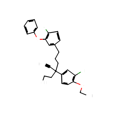 C#CC(CCC)(CCCc1ccc(F)c(Oc2ccccc2)c1)c1ccc(OCC)c(Cl)c1